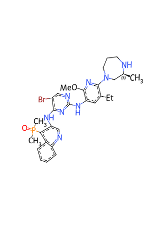 CCc1cc(Nc2ncc(Br)c(Nc3cnc4ccccc4c3P(C)(C)=O)n2)c(OC)nc1N1CCCN[C@@H](C)C1